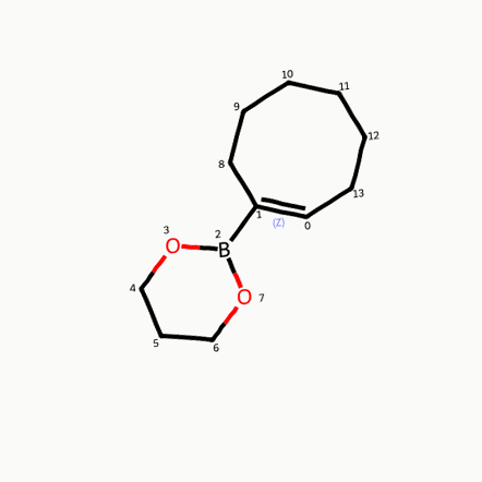 C1=C(/B2OCCCO2)CCCCCC/1